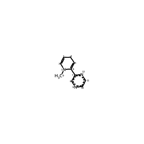 CN1C=CC[C]=C1c1cnccn1